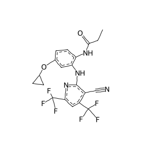 CCC(=O)Nc1ccc(OC2CC2)cc1Nc1nc(C(F)(F)F)cc(C(F)(F)F)c1C#N